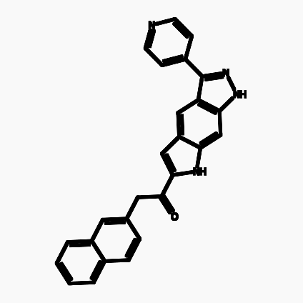 O=C(Cc1ccc2ccccc2c1)c1cc2cc3c(-c4ccncc4)n[nH]c3cc2[nH]1